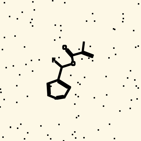 C=C(C)C(=O)OC(F)c1ccccc1